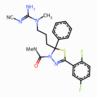 CNC(=O)N1N=C(c2cc(F)ccc2F)SC1(CCCN(C)C(N)=NC#N)c1ccccc1